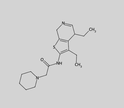 CCc1c(NC(=O)CN2CCCCC2)sc2c1C(CC)C=NC2